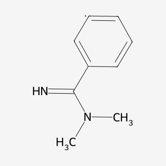 CN(C)C(=N)c1c[c]ccc1